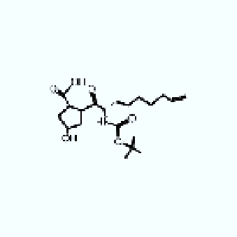 C=CCCCCC[C@H](NC(=O)OC(C)(C)C)C(=O)C1C[C@@H](O)C[C@H]1C(=O)O